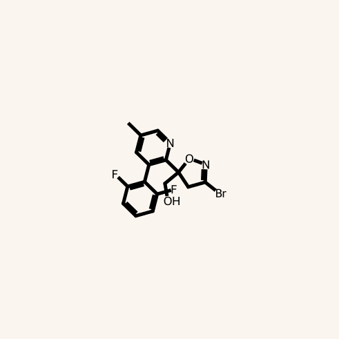 Cc1cnc(C2(CO)CC(Br)=NO2)c(-c2c(F)cccc2F)c1